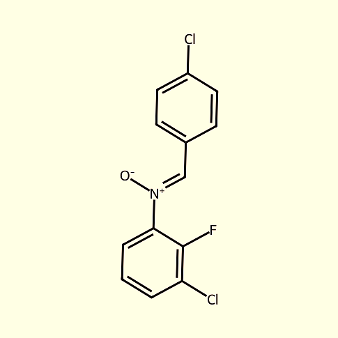 [O-][N+](=Cc1ccc(Cl)cc1)c1cccc(Cl)c1F